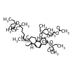 CC[Si](CC)(CC)O[C@@H]1CC2=CC=C3[C@@H]4CC[C@H]([C@H](C)CCCC(C)(C)O[Si](CC)(CC)CC)[C@@]4(C)CC[C@@H]3[C@@]2(C)[C@@H](O[Si](CC)(CC)CC)[C@@H]1OCCOC(C)=O